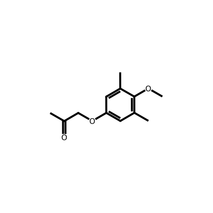 COc1c(C)cc(OCC(C)=O)cc1C